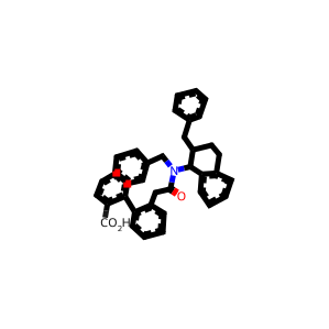 O=C(O)c1ccccc1-c1ccccc1CC(=O)N(Cc1ccccc1)C1c2ccccc2CCC1Cc1ccccc1